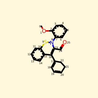 COc1ccccc1N1Sc2ccccc2C(C2=CC=CCC2)=C1C=O